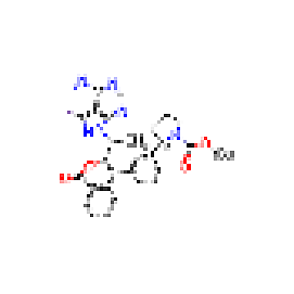 CC(c1oc(=O)c2ccccc2c1-c1cccc([C@H]2CCCN2C(=O)OC(C)(C)C)c1)n1nc(I)c2c(N)ncnc21